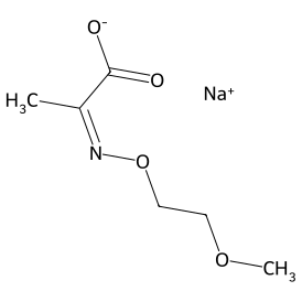 COCCON=C(C)C(=O)[O-].[Na+]